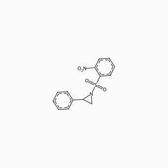 O=[N+]([O-])c1ccccc1S(=O)(=O)N1CC1c1ccccc1